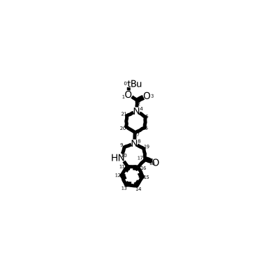 CC(C)(C)OC(=O)N1CCC(N2CNc3ccccc3C(=O)C2)CC1